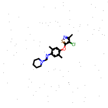 Cc1cc(Oc2snc(C)c2Cl)c(C)cc1/N=C/N1CCCCC1